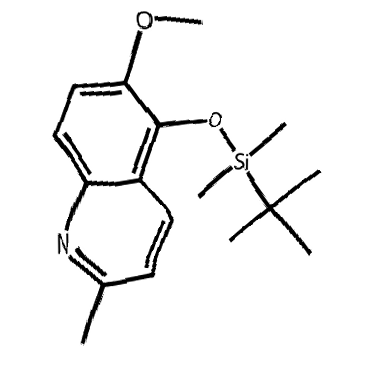 COc1ccc2nc(C)ccc2c1O[Si](C)(C)C(C)(C)C